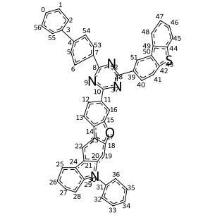 c1ccc(-c2ccc(-c3nc(-c4ccc5c(c4)oc4cc6c(cc45)c4ccccc4n6-c4ccccc4)nc(-c4ccc5sc6ccccc6c5c4)n3)cc2)cc1